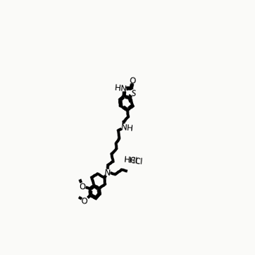 CCCN(CCCCCCCNCCc1ccc2[nH]c(=O)sc2c1)C1CCc2c(ccc(OC)c2OC)C1.Cl.Cl